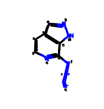 [N-]=[N+]=Nc1nccc2cn[nH]c12